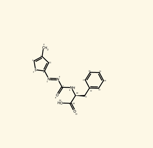 Cc1csc(N=NC(=O)N[C@@H](Cc2ccccc2)C(=O)O)c1